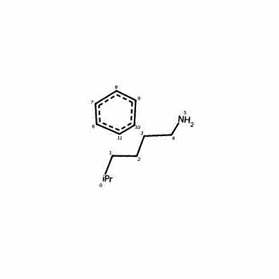 CC(C)CCCCN.c1ccccc1